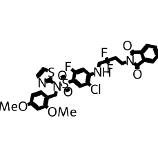 COc1ccc(CN(c2nccs2)S(=O)(=O)c2cc(Cl)c(NCC(F)(F)CCN3C(=O)c4ccccc4C3=O)cc2F)c(OC)c1